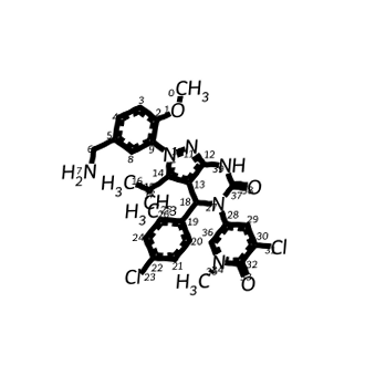 COc1ccc(CN)cc1-n1nc2c(c1C(C)C)C(c1ccc(Cl)cc1C)N(c1cc(Cl)c(=O)n(C)c1)C(=O)N2